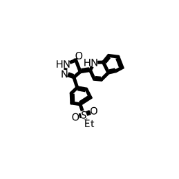 CCS(=O)(=O)c1ccc(C2=NNC(=O)C2=C2C=Cc3ccccc3N2)cc1